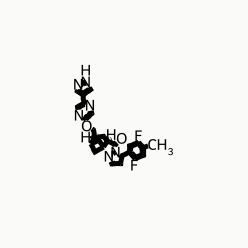 Cc1cc(F)c(C2CC=NN2C(=O)[C@H]2C[C@@H](COc3cnc(-c4cn[nH]c4)cn3)C3CC2C3)cc1F